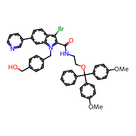 COc1ccc(C(OCCNC(=O)c2c(Br)c3ccc(-c4cccnc4)cc3n2Cc2ccc(CO)cc2)(c2ccccc2)c2ccc(OC)cc2)cc1